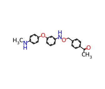 CNc1ccc(Oc2cccc(NOCc3ccc(C(C)=O)cc3)c2)cc1